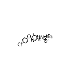 Cc1cc([C@@H](C)N[S+]([O-])C(C)(C)C)cnc1Oc1ccc(Cl)cc1